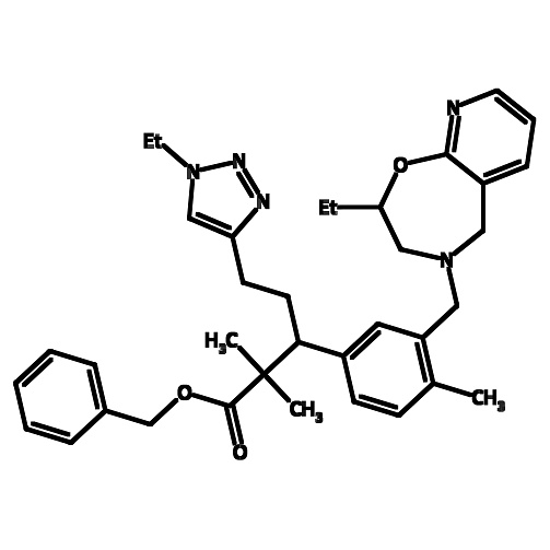 CCC1CN(Cc2cc(C(CCc3cn(CC)nn3)C(C)(C)C(=O)OCc3ccccc3)ccc2C)Cc2cccnc2O1